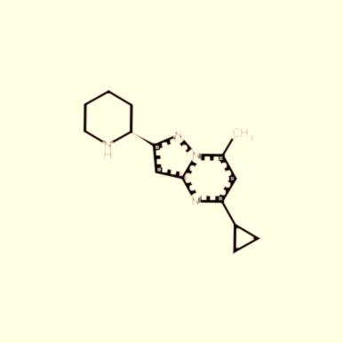 Cc1cc(C2CC2)nc2cc([C@@H]3CCCCN3)nn12